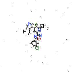 Cc1ccncc1-c1cc(-c2noc(-c3cccc(Cl)c3)n2)nc(C)c1F